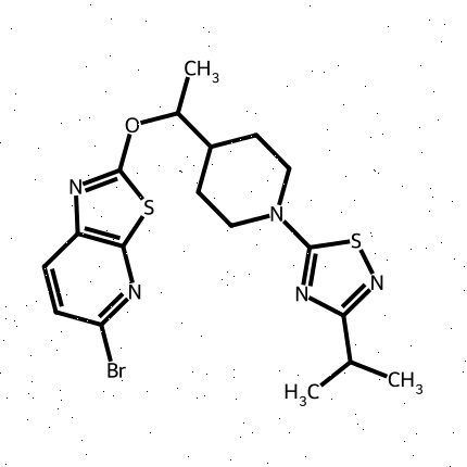 CC(C)c1nsc(N2CCC(C(C)Oc3nc4ccc(Br)nc4s3)CC2)n1